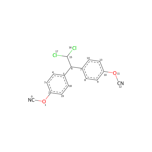 N#COc1ccc(C(c2ccc(OC#N)cc2)C(Cl)Cl)cc1